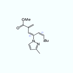 C=C(/C=C(\C=C/C(C)CC)n1ccc(C)n1)C(=O)OC